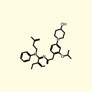 C=C(C)CCN(C(=N/C(=C)Cc1ccc(N2CCC(O)CC2)cc1OC(C)C)/C(=C\C)CC)c1ccccc1